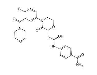 NC(=O)c1ccc(N[C@H](O)C[C@H]2OCCN(c3ccc(F)c(C(=O)N4CCOCC4)c3)C2=O)cc1